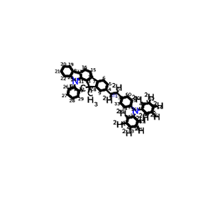 [2H]/C(=C(/[2H])c1ccc2c(c1)C(C)(C)c1c-2ccc2c3ccccc3n(-c3ccccc3)c12)c1ccc(N(c2c([2H])c([2H])c([2H])c([2H])c2[2H])c2c([2H])c([2H])c([2H])c([2H])c2[2H])cc1